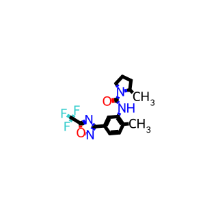 Cc1ccc(-c2noc(C(F)(F)F)n2)cc1NC(=O)N1CCCC1C